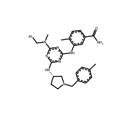 Cc1ccc(CN2CC[C@H](Nc3nc(Nc4cc(C(N)=O)ccc4C)nc(N(C)CC(C)C)n3)C2)cc1